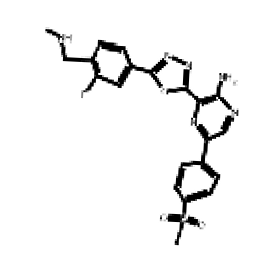 CNCc1ccc(-c2nnc(-c3nc(-c4ccc(S(C)(=O)=O)cc4)cnc3N)o2)cc1F